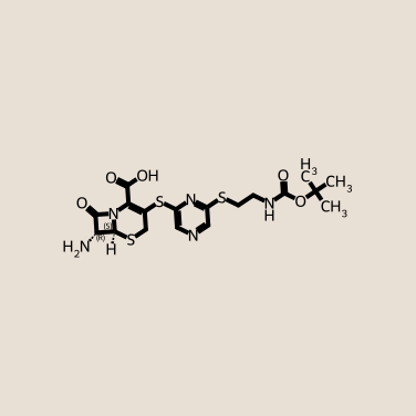 CC(C)(C)OC(=O)NCCSc1cncc(SC2=C(C(=O)O)N3C(=O)[C@@H](N)[C@@H]3SC2)n1